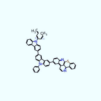 C=C/C=C(\C=C/C)n1c2ccccc2c2cc(-c3ccc4c(c3)c3cc(-c5ccc6nc7c8c(nccc8c6c5)-c5ccccc5S7)ccc3n4-c3ccccc3)ccc21